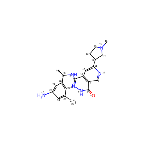 C[C@@H](Nc1n[nH]c(=O)c2cnc(C3CCN(C)C3)cc12)c1cc(N)cc(C(F)(F)F)c1